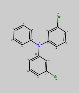 Brc1cccc(N(c2ccccc2)c2cccc(Br)c2)c1